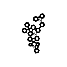 C1=CC2c3c(N(c4ccc(-c5cccc(-n6c7ccccc7c7ccccc76)c5)cc4)c4cccc5c4-c4ccccc4C54c5ccccc5-n5c6ccccc6c6cccc4c65)cccc3C(c3ccccc3)(c3ccccc3)C2C=C1